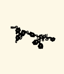 COc1ccc(-c2c3ccc(=O)cc-3oc3cc(OCc4ccc(OCC5=C(C(=O)OC(c6ccccc6)c6ccccc6)N6C(=O)[C@@H](NC(=O)Cc7ccccc7)[C@H]6SC5)cc4)ccc23)c(C)c1